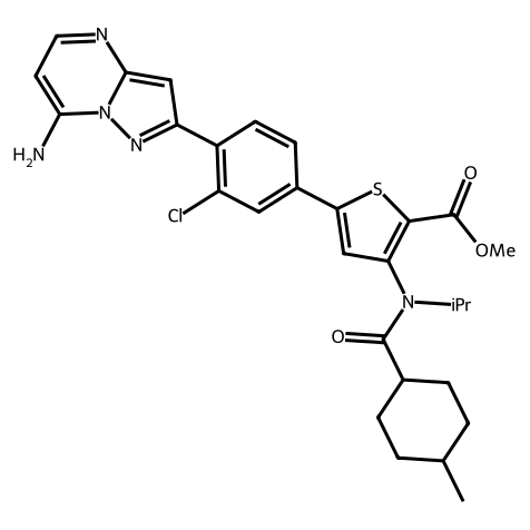 COC(=O)c1sc(-c2ccc(-c3cc4nccc(N)n4n3)c(Cl)c2)cc1N(C(=O)C1CCC(C)CC1)C(C)C